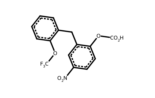 O=C(O)Oc1ccc([N+](=O)[O-])cc1Cc1ccccc1OC(F)(F)F